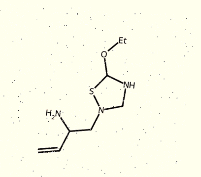 C=CC(N)CN1CNC(OCC)S1